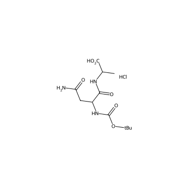 CC(NC(=O)C(CC(N)=O)NC(=O)OC(C)(C)C)C(=O)O.Cl